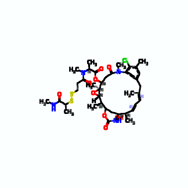 CNC(=O)C(C)SSCCC(=O)N(C)[C@@H](C)C(=O)O[C@H]1CC(=O)N(C)c2cc(cc(C)c2Cl)C/C(C)=C/C=C/[C@@H](C)[C@@]2(O)CC(OC(=O)N2)[C@@H](C)[C@@H]2O[C@@]12C